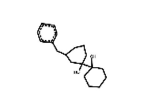 OC1(C2(O)CCCC(Cc3ccccc3)C2)CCCCC1